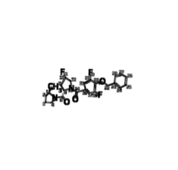 C[C@@H]1CCCN1C(=O)[C@@H]1CC(F)CN1C(=O)c1cc(F)c(OCc2ccccc2)c(F)c1